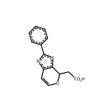 O=C(O)CC1OC=Cc2nc(-c3ccccc3)sc21